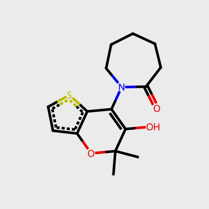 CC1(C)Oc2ccsc2C(N2CCCCCC2=O)=C1O